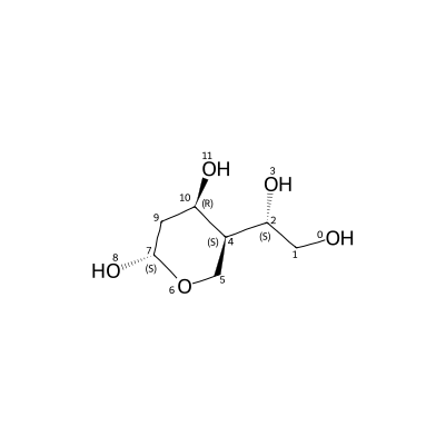 OC[C@@H](O)[C@H]1CO[C@H](O)C[C@H]1O